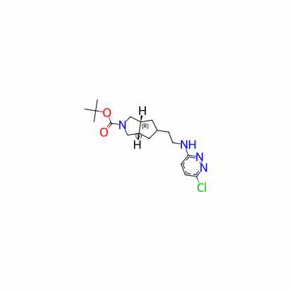 CC(C)(C)OC(=O)N1C[C@H]2CC(CCNc3ccc(Cl)nn3)C[C@H]2C1